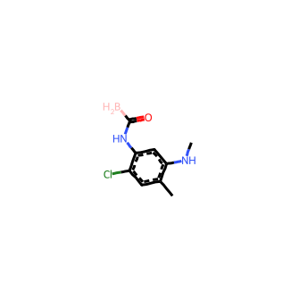 BC(=O)Nc1cc(NC)c(C)cc1Cl